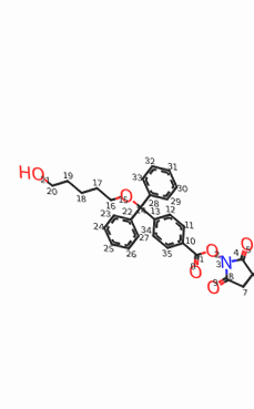 O=C(ON1C(=O)CCC1=O)c1ccc(C(OCCCCCO)(c2ccccc2)c2ccccc2)cc1